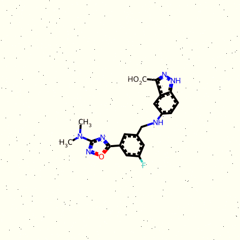 CN(C)c1noc(-c2cc(F)cc(CNc3ccc4[nH]nc(C(=O)O)c4c3)c2)n1